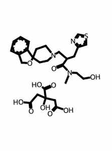 CN(CCO)C(=O)C(Cc1cscn1)CN1CCC2(CC1)OCc1ccccc12.O=C(O)CC(O)(CC(=O)O)C(=O)O